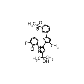 Cc1cc(-c2cccc(S(C)(=O)=O)c2)sc1-c1cc(C(C)(C)O)nn1-c1cccc(F)c1Cl